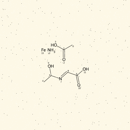 CC(=O)O.CC(O)N=CC(=O)O.N.[Fe]